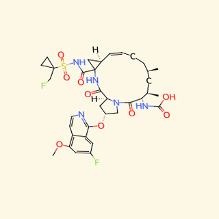 COc1cc(F)cc2c(O[C@@H]3C[C@H]4C(=O)NC5(C(=O)NS(=O)(=O)C6(CF)CC6)C[C@H]5/C=C\CC[C@@H](C)C[C@@H](C)[C@H](NC(=O)O)C(=O)N4C3)nccc12